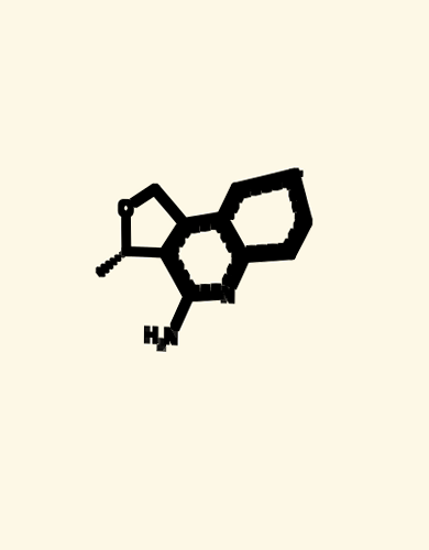 C[C@@H]1OCc2c1c(N)nc1cc[c]cc21